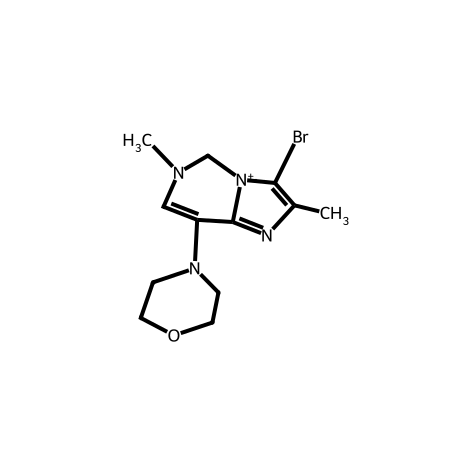 CC1=C(Br)[N+]2CN(C)C=C(N3CCOCC3)C2=N1